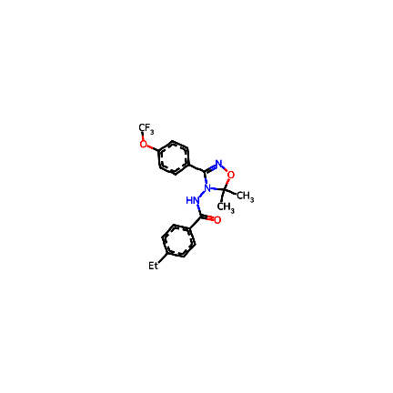 CCc1ccc(C(=O)NN2C(c3ccc(OC(F)(F)F)cc3)=NOC2(C)C)cc1